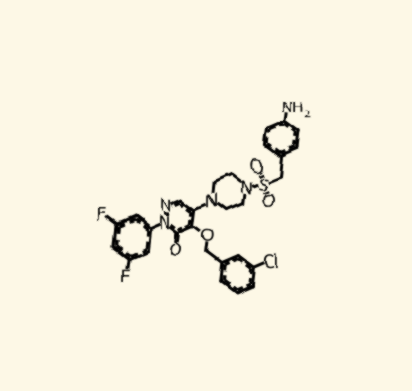 Nc1ccc(CS(=O)(=O)N2CCN(c3cnn(-c4cc(F)cc(F)c4)c(=O)c3OCc3cccc(Cl)c3)CC2)cc1